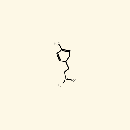 CC1=CCC(CC[S+](C)[O-])C=C1